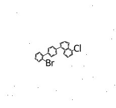 Clc1cccc2c(-c3ccc(-c4ccccc4Br)cc3)cccc12